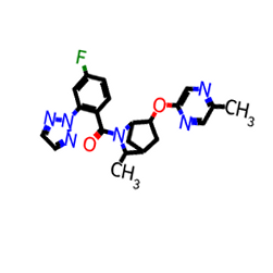 Cc1cnc(OC2CC3CC2N(C(=O)c2ccc(F)cc2-n2nccn2)C3C)cn1